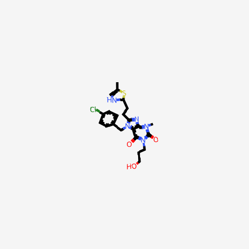 CC1=CNC(CCc2nc3c(c(=O)n(CCCO)c(=O)n3C)n2Cc2ccc(Cl)cc2)S1